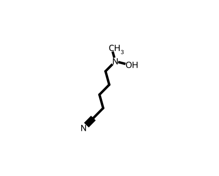 CN(O)CCCCC#N